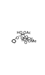 COC(=O)[C@@]1(C)OC2[C@H](OC(COCc3ccccc3)[C@@H](O)[C@@H]2OC(C)=O)O1